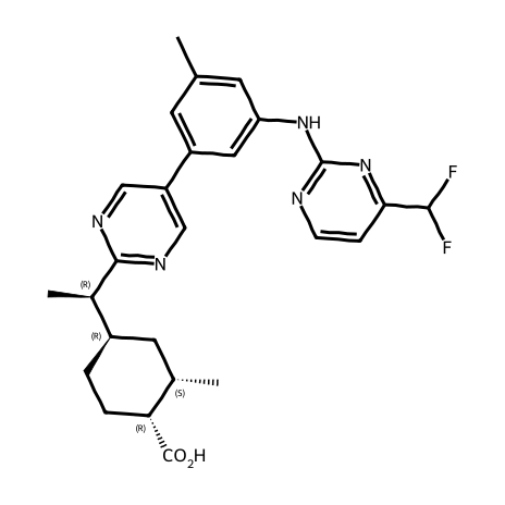 Cc1cc(Nc2nccc(C(F)F)n2)cc(-c2cnc([C@H](C)[C@@H]3CC[C@@H](C(=O)O)[C@@H](C)C3)nc2)c1